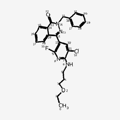 CCOCCCNc1nc(F)c(-c2nn(Cc3ccccc3)c(=O)c3ccccc23)cc1Cl